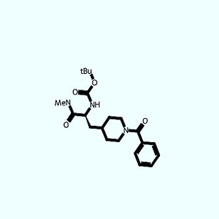 CNC(=O)[C@H](CC1CCN(C(=O)c2ccccc2)CC1)NC(=O)OC(C)(C)C